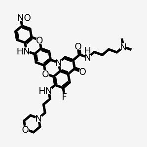 CN(C)CCCCNC(=O)c1cn2c3cc4oc5cc(N=O)ccc5[nH]c4cc3oc3c(NCCCN4CCOCC4)c(F)cc(c1=O)c32